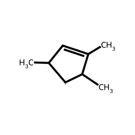 CC1=CC(C)[CH]C1C